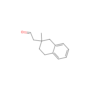 CC1(CC=O)CCc2ccccc2C1